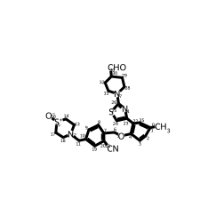 Cc1ccc(OCc2ccc(CN3CC[S+]([O-])CC3)cc2C#N)c(-c2csc(N3CCC(C=O)CC3)n2)c1